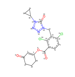 O=C1C=C(OC(=O)c2ccc(Cl)c(Cn3nnn(C4CC4)c3=O)c2Cl)CCC1